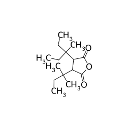 CCC(C)(C)C1C(=O)OC(=O)C1C(C)(CC)CC